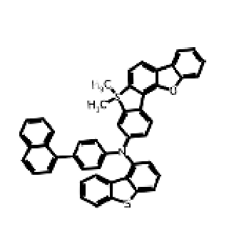 CS1(C)c2cc(N(c3ccc(-c4cccc5ccccc45)cc3)c3cccc4sc5ccccc5c34)ccc2-c2c1ccc1c2oc2ccccc21